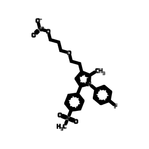 Cc1c(CCOCCCO[N+](=O)[O-])cc(-c2ccc(S(C)(=O)=O)cc2)n1-c1ccc(F)cc1